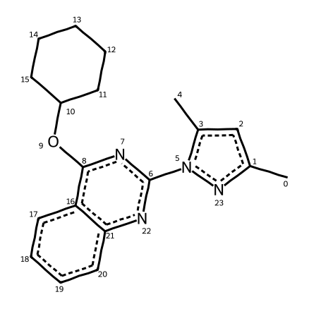 Cc1cc(C)n(-c2nc(OC3CCCCC3)c3ccccc3n2)n1